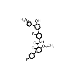 CCOc1ccn(-c2ccc(F)cc2)c(=O)c1C(=O)Nc1ccc(-c2ccc(O)c(-c3cnn(C)c3)c2)c(F)c1